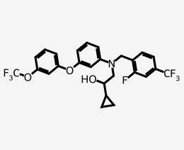 OC(CN(Cc1ccc(C(F)(F)F)cc1F)c1cccc(Oc2cccc(OC(F)(F)F)c2)c1)C1CC1